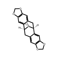 CN1[C@H]2Cc3cc4c(cc3[C@@H]1Cc1cc3c(cc12)OCO3)OCO4